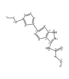 CCOc1cccc(-c2ccc3c(NC(=O)COC)n[nH]c3c2)c1